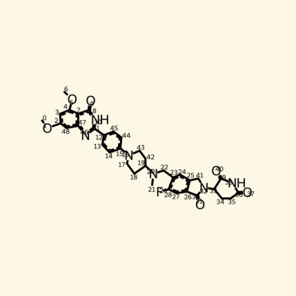 COc1cc(OC)c2c(=O)[nH]c(-c3ccc(N4CCC(N(C)Cc5cc6c(cc5F)C(=O)N(C5CCC(=O)NC5=O)C6)CC4)cc3)nc2c1